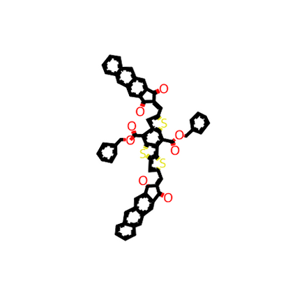 O=C1C(=Cc2cc3c(C(=O)OCc4ccccc4)c4sc5cc(C=C6C(=O)c7cc8cc9ccccc9cc8cc7C6=O)sc5c4c(C(=O)OCc4ccccc4)c3s2)C(=O)c2cc3cc4ccccc4cc3cc21